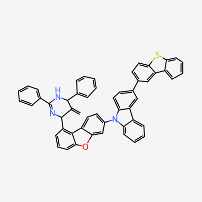 C=C1C(c2cccc3oc4cc(-n5c6ccccc6c6cc(-c7ccc8sc9ccccc9c8c7)ccc65)ccc4c23)N=C(c2ccccc2)NC1c1ccccc1